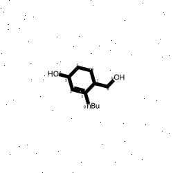 CCCCC1=CC(O)CCC1CO